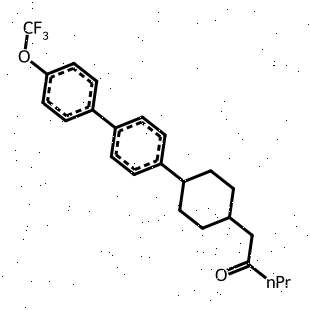 CCCC(=O)CC1CCC(c2ccc(-c3ccc(OC(F)(F)F)cc3)cc2)CC1